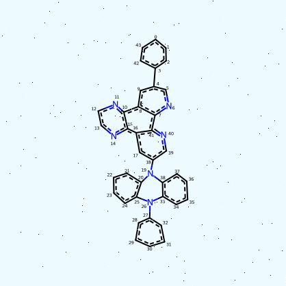 c1ccc(-c2cnc3c(c2)c2nccnc2c2cc(N4c5ccccc5N(c5ccccc5)c5ccccc54)cnc23)cc1